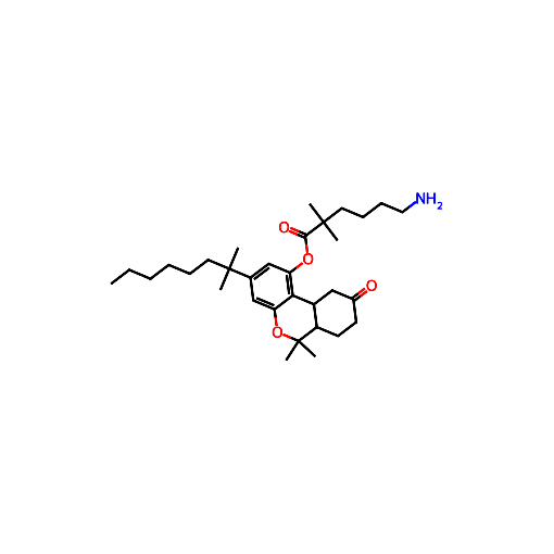 CCCCCCC(C)(C)c1cc(OC(=O)C(C)(C)CCCCN)c2c(c1)OC(C)(C)C1CCC(=O)CC21